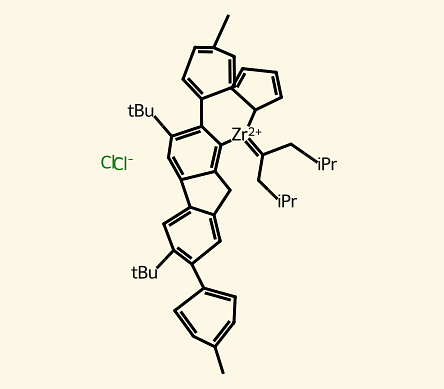 Cc1ccc(-c2cc3c(cc2C(C)(C)C)-c2cc(C(C)(C)C)c(-c4ccc(C)cc4)[c]([Zr+2](=[C](CC(C)C)CC(C)C)[CH]4C=CC=C4)c2C3)cc1.[Cl-].[Cl-]